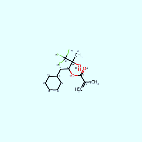 C=C(C)C(=O)OC(CC1CCCCC1)C(C)(O)C(F)(F)F